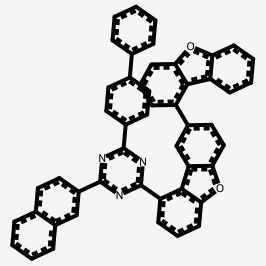 c1ccc(-c2ccc(-c3nc(-c4ccc5ccccc5c4)nc(-c4cccc5oc6ccc(-c7cccc8oc9ccccc9c78)cc6c45)n3)cc2)cc1